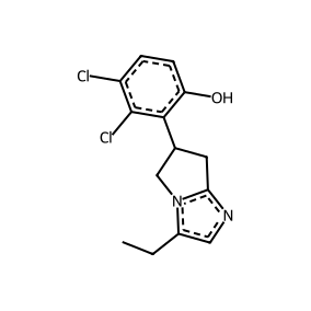 CCc1cnc2n1CC(c1c(O)ccc(Cl)c1Cl)C2